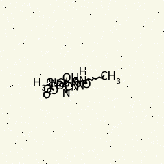 CCCCCCCC(=O)Nc1ncnn2c([C@@H]3O[C@](C#N)(COCN[C@@H](C)C(=O)OC4CCCCC4)[C@@H](O)[C@H]3O)ccc12